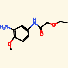 CCOCC(=O)Nc1ccc(OC)c(N)c1